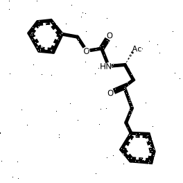 CC(=O)[C@H](CC(=O)CCc1ccccc1)NC(=O)OCc1ccccc1